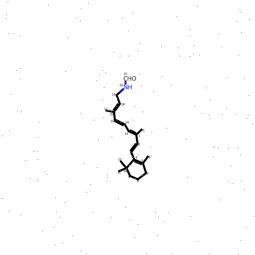 CC(C=CC1=C(C)CCCC1(C)C)=CC=CC(C)=CCNC=O